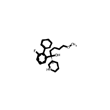 COCCCCC(O)(c1cccc(F)c1C1=CCCCC1)[C@@H]1CCCNC1